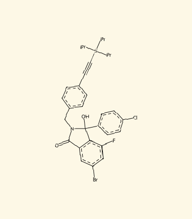 CC(C)[Si](C#Cc1ccc(CN2C(=O)c3cc(Br)cc(F)c3C2(O)c2ccc(Cl)cc2)cc1)(C(C)C)C(C)C